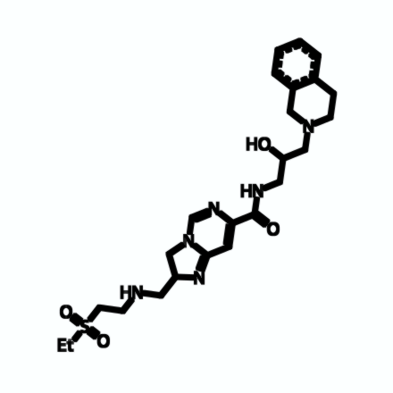 CCS(=O)(=O)CCNCC1CN2C=NC(C(=O)NCC(O)CN3CCc4ccccc4C3)=CC2=N1